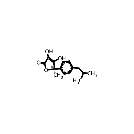 CC(C)Cc1ccc([C@@]2(C)OC(=O)C(O)=C2O)cc1